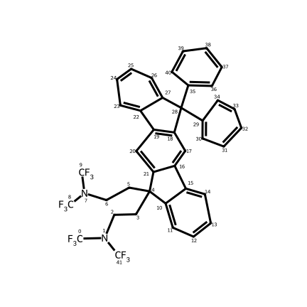 FC(F)(F)N(CCC1(CCN(C(F)(F)F)C(F)(F)F)c2ccccc2-c2cc3c(cc21)-c1ccccc1C3(c1ccccc1)c1ccccc1)C(F)(F)F